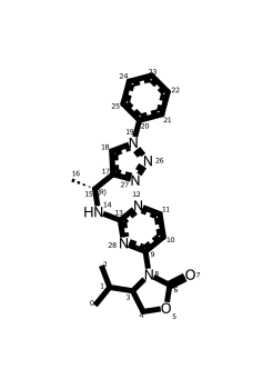 CC(C)C1COC(=O)N1c1ccnc(N[C@H](C)c2cn(-c3ccccc3)nn2)n1